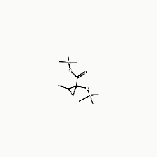 CC1CC1(O[Si](C)(C)C)C(=O)O[Si](C)(C)C